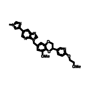 COCCOc1ccc(C2COc3cc(Cn4cnc5cc(-c6cn(C)cn6)cnc54)cc(OC)c3O2)cn1